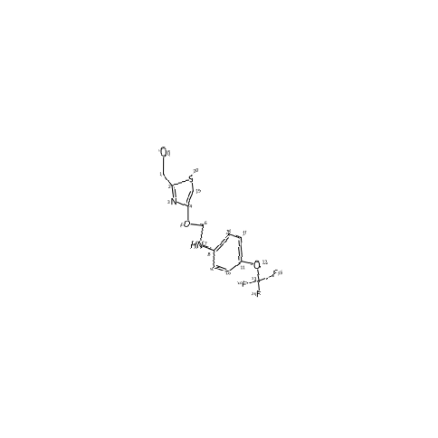 [O]Cc1nc(OCNc2ccc(OC(F)(F)F)cc2)cs1